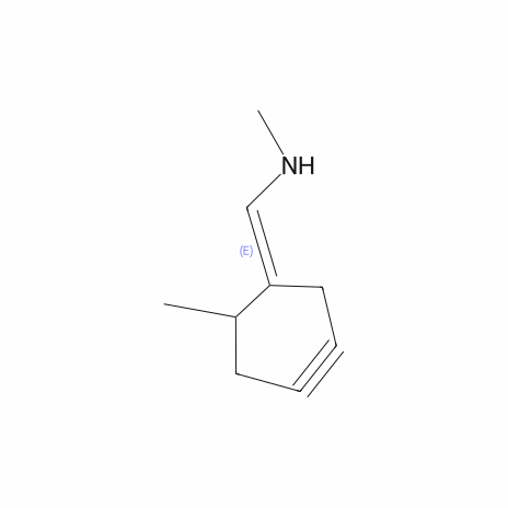 CN/C=C1\CC#CCC1C